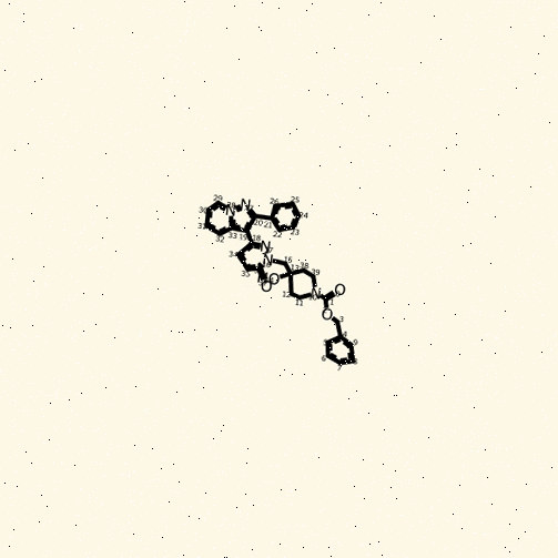 O=C(OCc1ccccc1)N1CCC(O)(Cn2nc(-c3c(-c4ccccc4)nn4ccccc34)ccc2=O)CC1